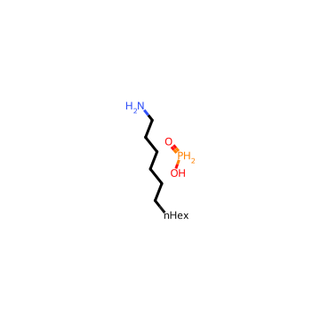 CCCCCCCCCCCCN.O=[PH2]O